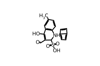 Cc1ccc2c(c1)C(O)=C(C=O)C(S(=O)(=O)O)N2.c1cc2ccc1-2